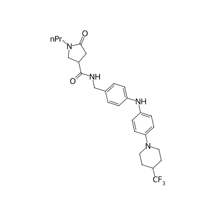 CCCN1CC(C(=O)NCc2ccc(Nc3ccc(N4CCC(C(F)(F)F)CC4)cc3)cc2)CC1=O